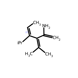 C=C(N)C(=C(C)C)/C(=C\C)C(C)C